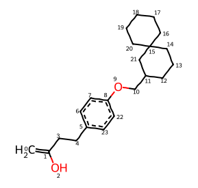 C=C(O)CCc1ccc(OCC2CCCC3(CCCCC3)C2)cc1